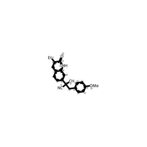 CCc1cc2ccc(C(C)(C#N)Cc3ccc(OC)cc3)cc2[nH]c1=O